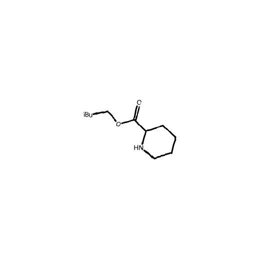 CCC(C)COC(=O)C1CCCCN1